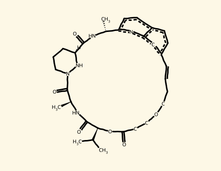 CC(C)[C@@H]1OC(=O)CCOCC/C=C/c2ccc3ccc(nc3c2)[C@@H](C)NC(=O)[C@@H]2CCCN(N2)C(=O)[C@H](C)NC1=O